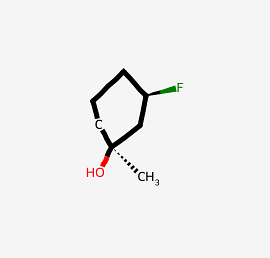 C[C@]1(O)CCC[C@@H](F)C1